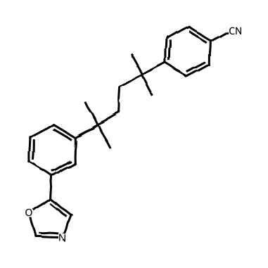 CC(C)(CCC(C)(C)c1cccc(-c2cnco2)c1)c1ccc(C#N)cc1